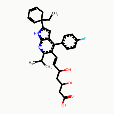 CCC1(c2cc3c(-c4ccc(F)cc4)c(C=CC(O)CC(O)CC(=O)O)c(C(C)C)nc3[nH]2)C=CC=CC1